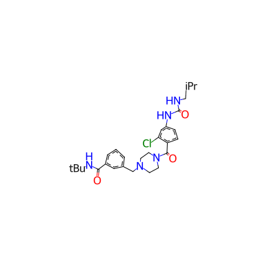 CC(C)CNC(=O)Nc1ccc(C(=O)N2CCN(Cc3cccc(C(=O)NC(C)(C)C)c3)CC2)c(Cl)c1